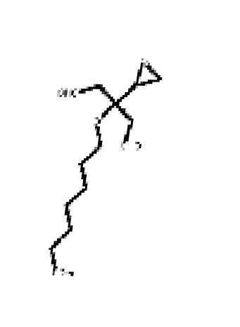 CCCCCCCCCCCCCCCCOC(CC=O)(CC=O)C1CO1